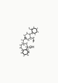 Cc1ccccc1C1CCN(C[C@@H]2CCc3cccnc3[C@@H](O)C2)CC1CF